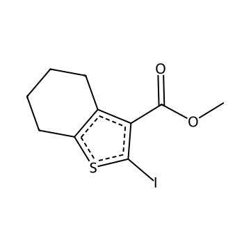 COC(=O)c1c(I)sc2c1CCCC2